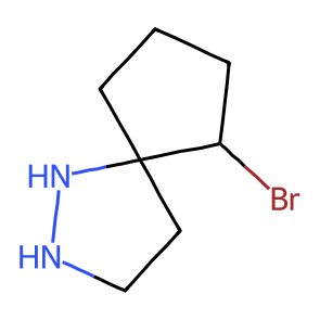 BrC1CCCC12CCNN2